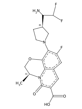 C[C@H]1COc2c(N3CC[C@@H](C(N)C(F)F)C3)c(F)cc3cc(C(=O)O)c(=O)n1c23